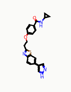 O=C(NC1CC1)c1ccc(OCCc2nc3ccc(-c4cn[nH]c4)cc3s2)cc1